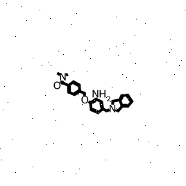 CN(C)C(=O)c1ccc(COc2ccc(CN3Cc4ccccc4C3)cc2N)cc1